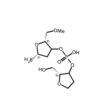 B[C@H]1CC(OP(=O)(O)OC2CCO[C@@H]2CO)[C@@H](COC)O1